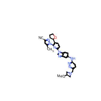 COC1CN(Cc2ccc(Nc3ccc4c(c3)ncn4-c3ccc(C4CCCO4)c(-n4nc(C#N)cc4C)n3)nn2)C1